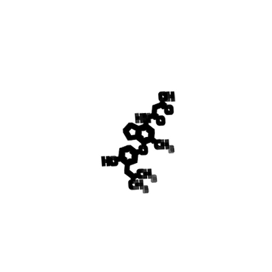 Cc1cc(NC(=O)CC(=O)O)c2c(c1Oc1ccc(O)c(CC(C)C)c1)CCC2